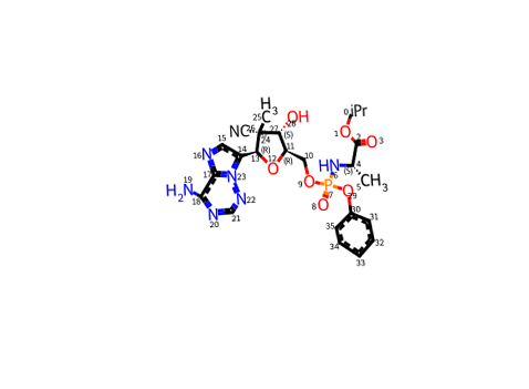 CC(C)OC(=O)[C@H](C)NP(=O)(OC[C@H]1O[C@@H](c2cnc3c(N)ncnn23)[C@](C)(C#N)[C@@H]1O)Oc1ccccc1